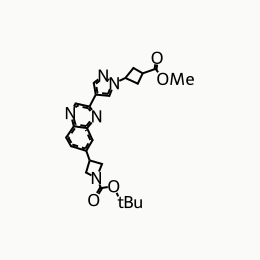 COC(=O)C1CC(n2cc(-c3cnc4ccc(C5CN(C(=O)OC(C)(C)C)C5)cc4n3)cn2)C1